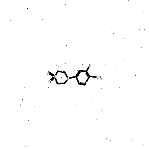 Cc1ccc(N2CCS(=O)(=O)CC2)cc1Br